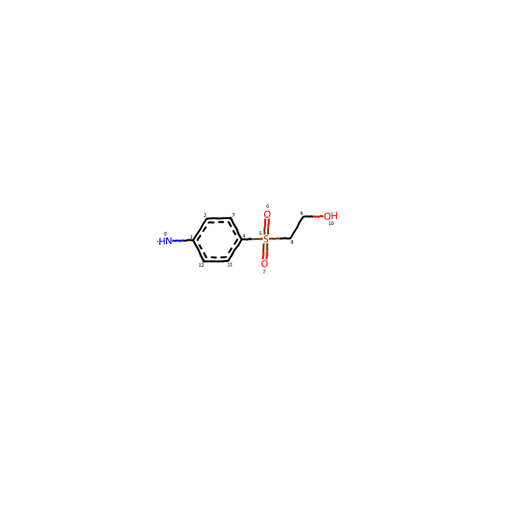 [NH]c1ccc(S(=O)(=O)CCO)cc1